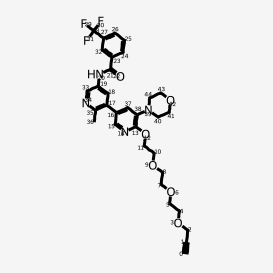 C#CCOCCOCCOCCOc1ncc(-c2cc(NC(=O)c3cccc(C(F)(F)F)c3)cnc2C)cc1N1CCOCC1